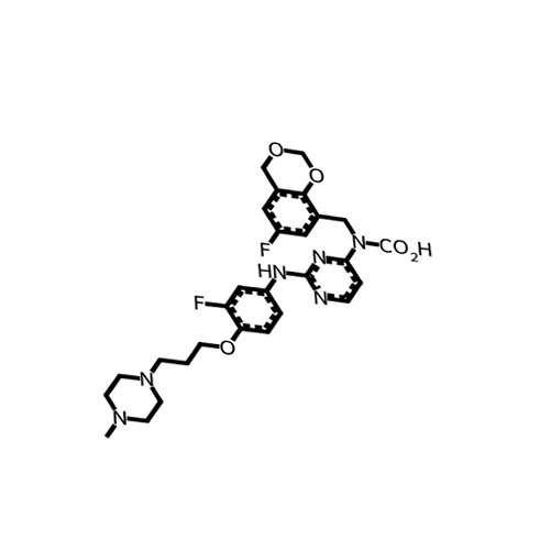 CN1CCN(CCCOc2ccc(Nc3nccc(N(Cc4cc(F)cc5c4OCOC5)C(=O)O)n3)cc2F)CC1